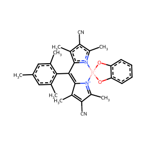 CC1=C(C#N)C(C)=[N+]2C1=C(c1c(C)cc(C)cc1C)c1c(C)c(C#N)c(C)n1[B-]21Oc2ccccc2O1